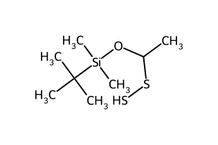 CC(O[Si](C)(C)C(C)(C)C)SS